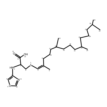 CC(=CSCC(Nc1cocn1)C(=O)O)CCCC(C)CCCC(C)CCCC(C)C